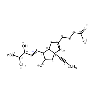 CC#CC12CC(O)C(/C=C/C(O)C(C)CCCC)C1CC(CCCC(=O)S)=N2